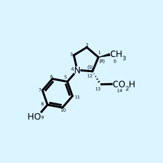 C[C@@H]1CCN(c2ccc(O)cc2)[C@H]1CC(=O)O